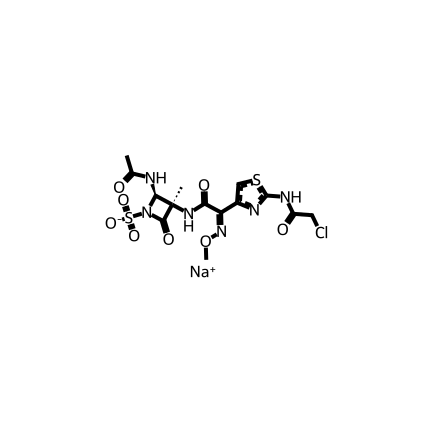 CON=C(C(=O)N[C@@]1(C)C(=O)N(S(=O)(=O)[O-])[C@H]1NC(C)=O)c1csc(NC(=O)CCl)n1.[Na+]